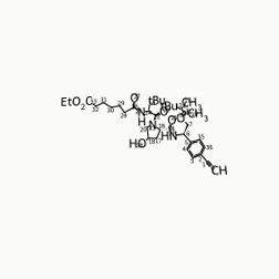 C#Cc1ccc([C@H](CO[Si](C)(C)C(C)(C)C)NC(=O)[C@@H]2C[C@@H](O)CN2C(=O)C(NC(=O)CCCCCC(=O)OCC)C(C)(C)C)cc1